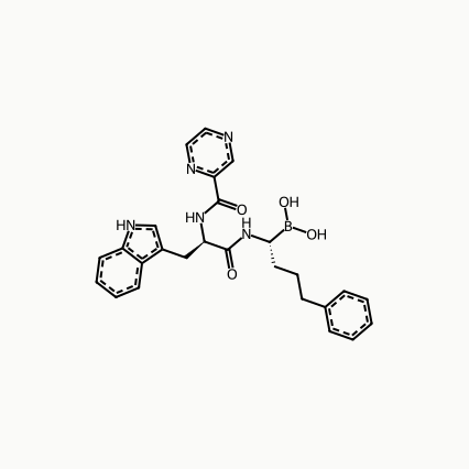 O=C(N[C@H](Cc1c[nH]c2ccccc12)C(=O)N[C@@H](CCCc1ccccc1)B(O)O)c1cnccn1